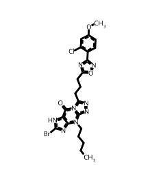 CCCCCn1c2nc(Br)[nH]c2c(=O)n2c(CCCc3nc(-c4ccc(OC)cc4Cl)no3)nnc12